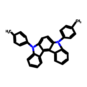 Cc1ccc(-n2c3ccccc3c3c4c5ccccc5n(-c5ccc(C)cc5)c4ccc32)cc1